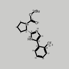 CC(C)(C)OC(=O)N1CCC[C@H]1c1ncc(-c2ccccc2C(F)(F)F)[nH]1